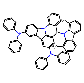 Cc1cccc2c3cccc(C)c3n(B3c4ccccc4-n4c5ccc(N(c6ccccc6)c6ccccc6)cc5c5cc(N(c6ccccc6)c6ccccc6)cc3c54)c12